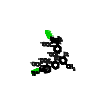 CCc1cc(C)ccc1C(=O)[O-].CCc1ccccc1C(=O)[O-].CCc1ccccc1C(=O)[O-].CCc1ccccc1C(=O)[O-].[Cl-].[Cl-].[Cl-].[Cl-].[Cl-].[Cl-].[Mg+2].[Mg+2].[Mg+2].[Ti+4]